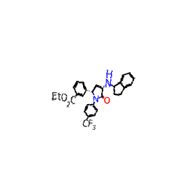 CCOC(=O)c1cccc([C@@H]2C[C@H](N[C@@H]3CCc4ccccc43)C(=O)N2c2ccc(C(F)(F)F)cc2)c1